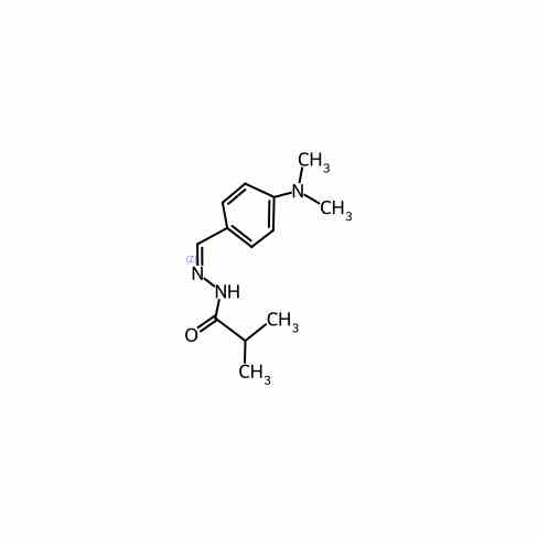 CC(C)C(=O)N/N=C\c1ccc(N(C)C)cc1